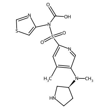 Cc1cc(S(=O)(=O)N(C(=O)O)c2cscn2)ncc1N(C)[C@H]1CCNC1